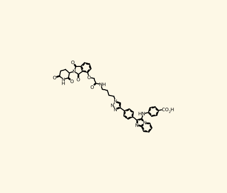 O=C(COc1cccc2c1C(=O)N(C1CCC(=O)NC1=O)C2=O)NCCCCn1cc(-c2ccc(-c3nc4ccccn4c3Nc3ccc(C(=O)O)cc3)cc2)nn1